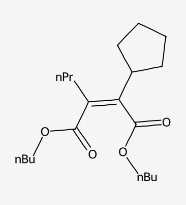 CCCCOC(=O)/C(CCC)=C(\C(=O)OCCCC)C1CCCC1